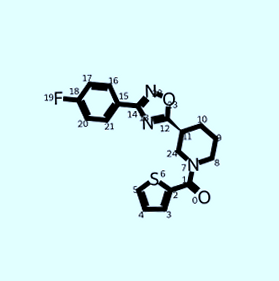 O=C(c1cccs1)N1CCC[C@H](c2nc(-c3ccc(F)cc3)no2)C1